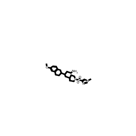 COc1ccc2c(c1)CCC(C(CCN)CC1CCN(S(=O)(=O)c3cn(C)cn3)CC1)C2